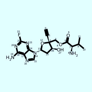 C#C[C@]1(COC(=O)[C@H](N)C(C)C)O[C@@H](n2cnc3c(N)nc(F)nc32)C[C@@H]1O